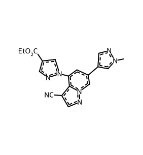 CCOC(=O)c1cnn(-c2cc(-c3cnn(C)c3)cn3ncc(C#N)c23)c1